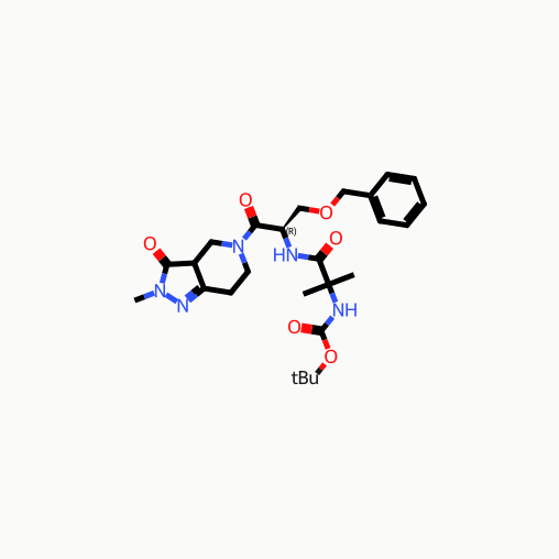 CN1N=C2CCN(C(=O)[C@@H](COCc3ccccc3)NC(=O)C(C)(C)NC(=O)OC(C)(C)C)CC2C1=O